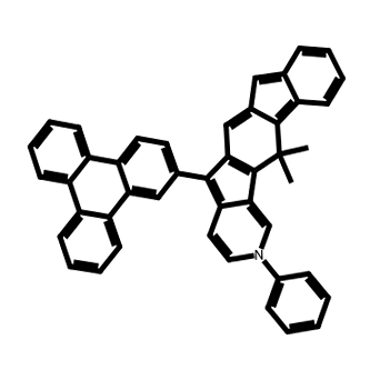 CC1(C)C2=c3ccccc3=CC2=Cc2c(-c3ccc4c5ccccc5c5ccccc5c4c3)c3ccn(-c4ccccc4)cc-3c21